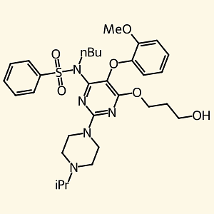 CCCCN(c1nc(N2CCN(C(C)C)CC2)nc(OCCCO)c1Oc1ccccc1OC)S(=O)(=O)c1ccccc1